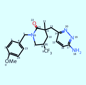 COc1ccc(CN2C[C@H](C(F)(F)F)CC(C)(Cc3ccc(N)nn3)C2=O)cc1